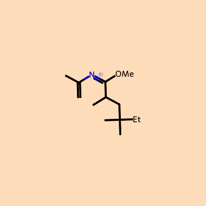 C=C(C)/N=C(/OC)C(C)CC(C)(C)CC